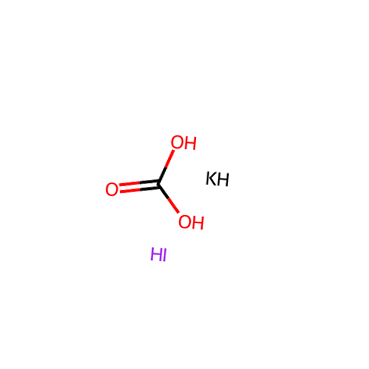 I.O=C(O)O.[KH]